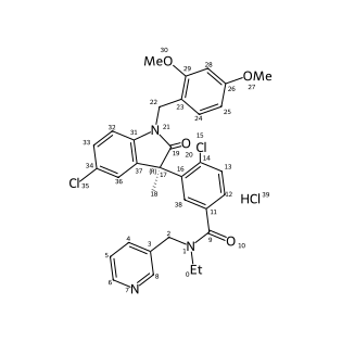 CCN(Cc1cccnc1)C(=O)c1ccc(Cl)c([C@]2(C)C(=O)N(Cc3ccc(OC)cc3OC)c3ccc(Cl)cc32)c1.Cl